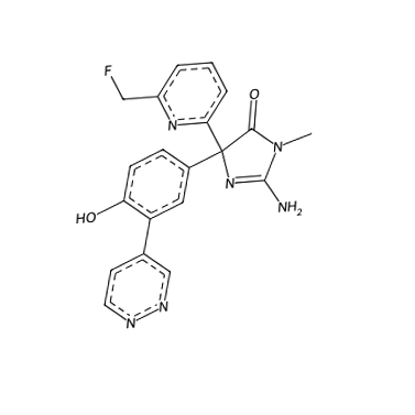 CN1C(=O)C(c2ccc(O)c(-c3ccnnc3)c2)(c2cccc(CF)n2)N=C1N